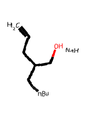 C=CCC(CO)CCCCC.[NaH]